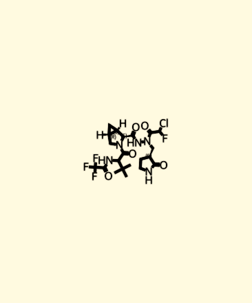 CC(C)(C)C(NC(=O)C(F)(F)F)C(=O)N1C[C@@H]2C[C@@H]2[C@H]1C(=O)NN(C[C@@H]1CCNC1=O)C(=O)C(F)Cl